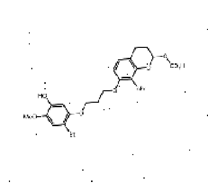 CCCc1c(OCCCOc2cc(O)c(OC)cc2CC)ccc2c1OC(OC(=O)O)CC2